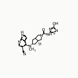 CN(c1c(C#N)cnc2[nH]ccc12)[C@@H]1CC2CN(C(=O)Nc3nc(O)ns3)C[C@H]2C1